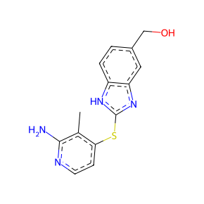 Cc1c(Sc2nc3cc(CO)ccc3[nH]2)ccnc1N